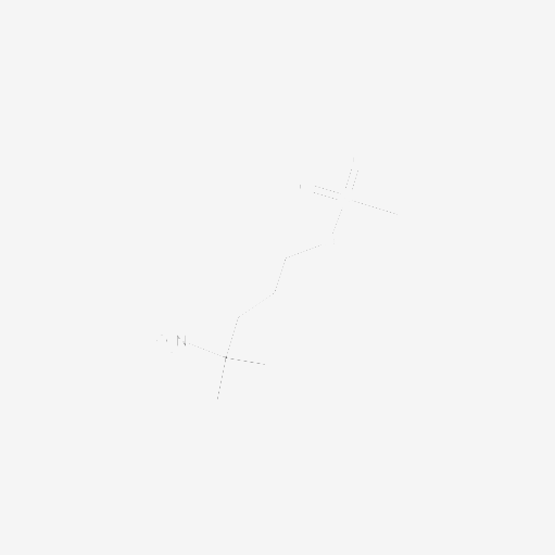 CC(C)(CCCOS(C)(=O)=O)[N+](=O)[O-]